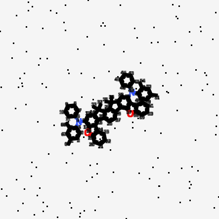 Cc1ccc(N(c2ccccc2)c2cc3c(c4c2oc2ccccc24)-c2ccc4c(c2C3(C)C)C(C)(C)c2cc(N(c3ccccc3)c3ccc(C)cc3C)c3c(oc5ccccc53)c2-4)c(C)c1